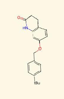 CC(C)(C)c1ccc(COc2ccc3c(c2)NC(=O)CC3)cc1